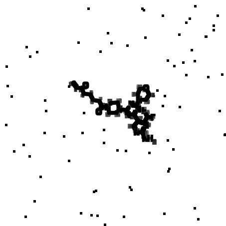 C=CC(=O)CCCCC(=O)N1CCN(c2nc(-c3cnc(N)nc3C(F)F)nc(N3CCOCC3)n2)CC1